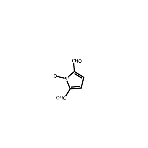 O=Cc1ccc(C=O)[s+]1[O-]